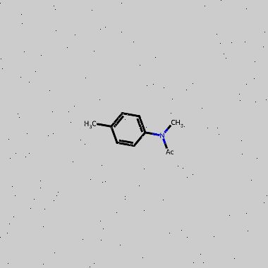 [CH2]C(=O)N(C)c1ccc(C)cc1